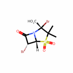 CC1(C)[C@](Br)(C(=O)O)N2C(=O)[C@@H](Br)[C@H]2S1(=O)=O